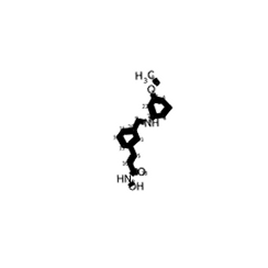 CCOc1cccc(NCc2cccc(/C=C/C(=O)NO)c2)c1